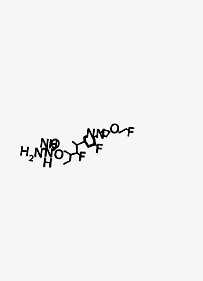 CCC(COC(=O)NC(=N)N)C(F)C(C)c1cnc(N2CC(OCCF)C2)c(F)c1